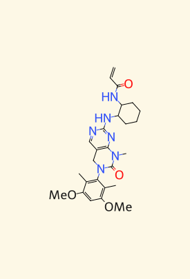 C=CC(=O)NC1CCCCC1Nc1ncc2c(n1)N(C)C(=O)N(c1c(C)c(OC)cc(OC)c1C)C2